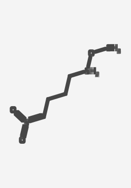 O=S(=O)=CCCC[SiH2]O[SiH3]